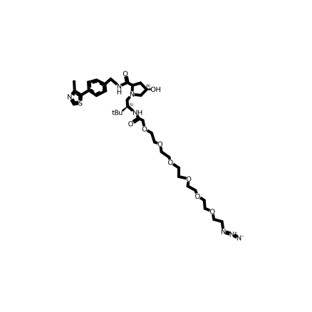 Cc1ncsc1-c1ccc(CNC(=O)C2C[C@@H](O)CN2C[C@@H](NC(=O)COCCOCCOCCOCCOCCOCCN=[N+]=[N-])C(C)(C)C)cc1